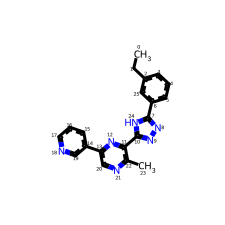 CCc1cccc(-c2nnc(-c3nc(-c4cccnc4)cnc3C)[nH]2)c1